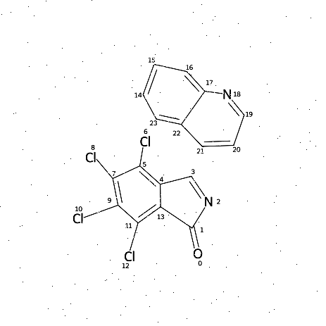 O=C1N=Cc2c(Cl)c(Cl)c(Cl)c(Cl)c21.c1ccc2ncccc2c1